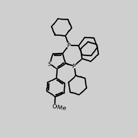 COc1ccc(-c2scc(P(C3CCCCC3)C3CCCCC3)c2P(C2CCCCC2)C2CCCCC2)cc1